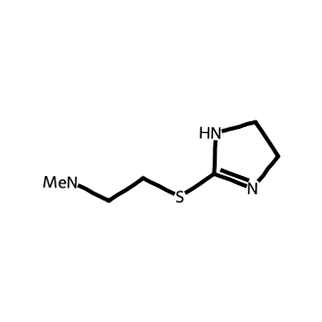 CNCCSC1=NCCN1